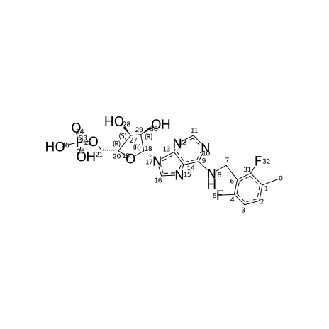 Cc1ccc(F)c(CNc2ncnc3c2ncn3[C@@H]2O[C@H](COP(=O)(O)O)[C@@H](O)[C@H]2O)c1F